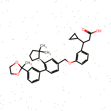 CC1(c2cccc(-c3ccc(COc4cccc(C(CC(=O)O)C5CC5)c4)cc3[C@H]3CCCC3(C)C)c2)OCCO1